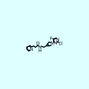 O=C(CCc1ccccn1)NCCC1C2CN(c3nc(Cl)ncc3F)CC12